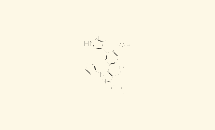 COc1cc2c(cc1-c1c[nH]nc1C)-c1c(c(C(=O)O)nn1-c1ccsc1)CO2